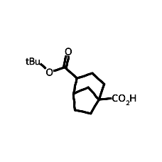 CC(C)(C)OC(=O)C1CCC2(C(=O)O)CCC1C2